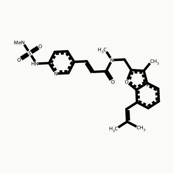 CNS(=O)(=O)Nc1ccc(/C=C/C(=O)N(C)Cc2oc3c(C=C(C)C)cccc3c2C)cn1